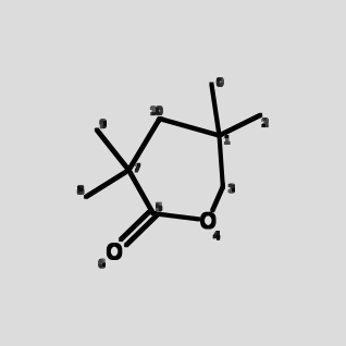 CC1(C)COC(=O)C(C)(C)C1